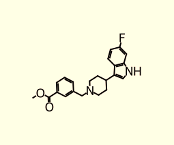 COC(=O)c1cccc(CN2CCC(c3c[nH]c4cc(F)ccc34)CC2)c1